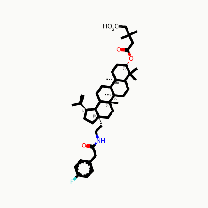 C=C(C)[C@@H]1CC[C@]2(CCNC(=O)Cc3ccc(F)cc3)CC[C@]3(C)C(CCC4[C@@]5(C)CC[C@H](OC(=O)CC(C)(C)CC(=O)O)C(C)(C)C5CC[C@]43C)C12